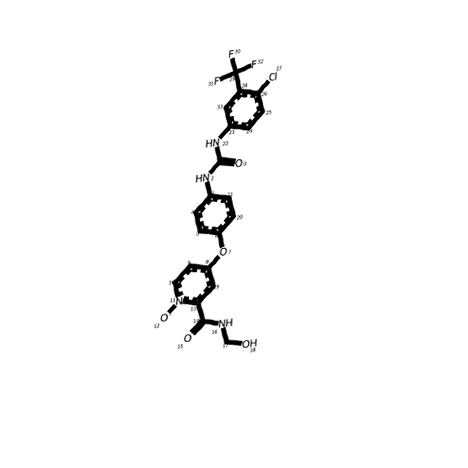 O=C(Nc1ccc(Oc2cc[n+]([O-])c(C(=O)NCO)c2)cc1)Nc1ccc(Cl)c(C(F)(F)F)c1